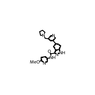 COc1ccc(NC(=O)c2n[nH]c3ccc(-c4cncc(CN5CCCC5)c4)cc23)cn1